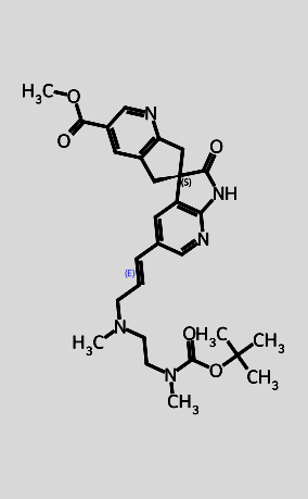 COC(=O)c1cnc2c(c1)C[C@@]1(C2)C(=O)Nc2ncc(/C=C/CN(C)CCN(C)C(=O)OC(C)(C)C)cc21